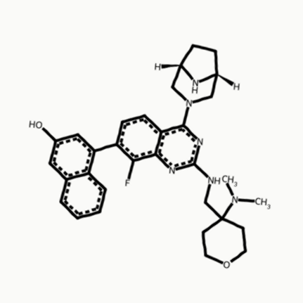 CN(C)C1(CNc2nc(N3C[C@H]4CC[C@@H](C3)N4)c3ccc(-c4cc(O)cc5ccccc45)c(F)c3n2)CCOCC1